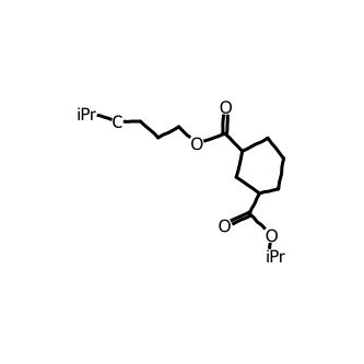 CC(C)CCCCOC(=O)C1CCCC(C(=O)OC(C)C)C1